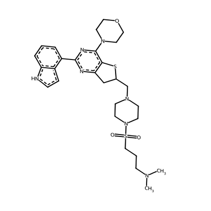 CN(C)CCCS(=O)(=O)N1CCN(CC2Cc3nc(-c4cccc5[nH]ccc45)nc(N4CCOCC4)c3S2)CC1